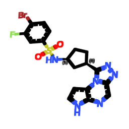 O=S(=O)(N[C@H]1CC[C@@H](c2nnc3cnc4[nH]ccc4n23)C1)c1ccc(Br)c(F)c1